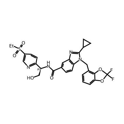 CCS(=O)(=O)c1ccc([C@H](CO)NC(=O)c2ccc3c(c2)nc(C2CC2)n3Cc2cccc3c2OC(F)(F)O3)nc1